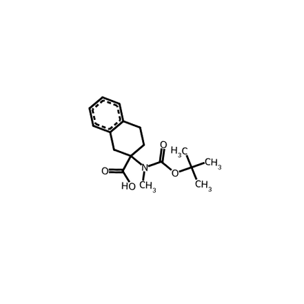 CN(C(=O)OC(C)(C)C)C1(C(=O)O)CCc2ccccc2C1